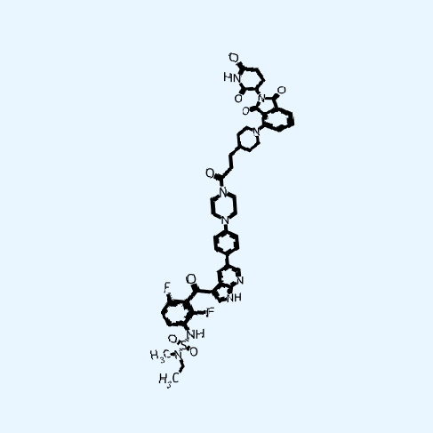 CCN(C)S(=O)(=O)Nc1ccc(F)c(C(=O)c2c[nH]c3ncc(-c4ccc(N5CCN(C(=O)CCC6CCN(c7cccc8c7C(=O)N(C7CCC(=O)NC7=O)C8=O)CC6)CC5)cc4)cc23)c1F